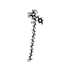 Nc1nc2c(nc(CNCCOCCOCCOCCOCCOCCCCCCCl)n2Cc2ccc(F)cc2)c(=O)[nH]1